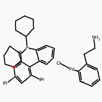 CC(C)c1cc(C(C)C)c(-c2ccccc2P(C2CCCCC2)C2CCCCC2)c(C(C)C)c1.NCCc1cccc[c]1[Pd][Cl]